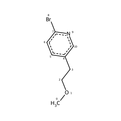 COCCc1ccc(Br)nc1